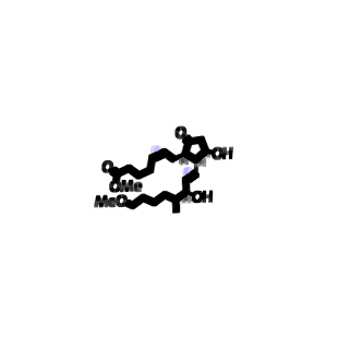 COCCCCC(C)[C@@H](O)/C=C/[C@H]1[C@H](O)CC(=O)[C@@H]1C/C=C\CCCC(=O)OC